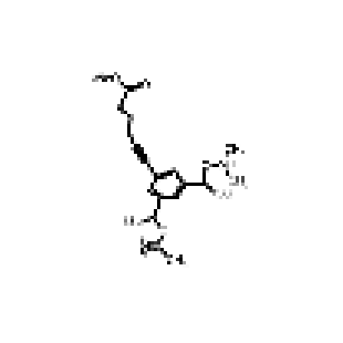 COC(=O)CCCC#Cc1cc(C(O[SiH](C)C)C(C)(C)C)cc(C(O[SiH](C)C)C(C)(C)C)c1